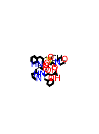 CC(C)(C(=O)N1CCOCC1)S(=O)(=O)C[C@@H](Cc1ccccc1)C(=O)N[C@@H](Cc1cccnc1)C(=O)N[C@@H](CC1CCCCC1)[C@@H](O)[C@@H](O)C1CC1